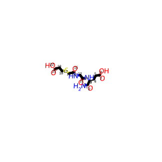 NC(=O)[C@H](CCC(=O)O)NC(=O)CNC(=O)CSCCC(=O)O